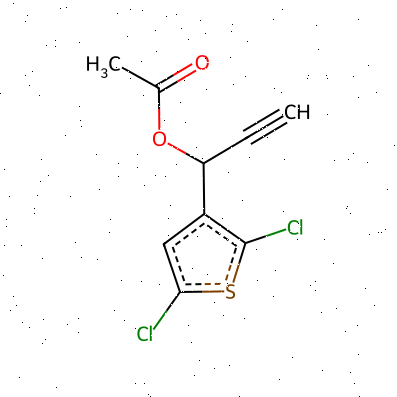 C#CC(OC(C)=O)c1cc(Cl)sc1Cl